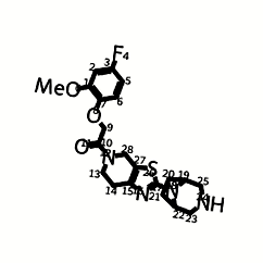 COc1cc(F)ccc1OCC(=O)N1CCc2nc(N3C4CCC3CNC4)sc2C1